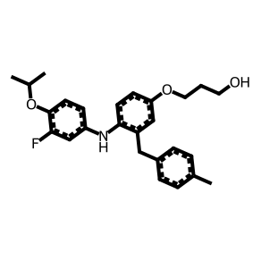 Cc1ccc(Cc2cc(OCCCO)ccc2Nc2ccc(OC(C)C)c(F)c2)cc1